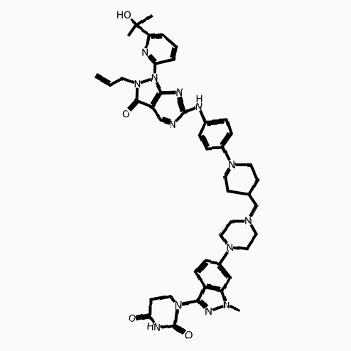 C=CCn1c(=O)c2cnc(Nc3ccc(N4CCC(CN5CCN(c6ccc7c(N8CCC(=O)NC8=O)nn(C)c7c6)CC5)CC4)cc3)nc2n1-c1cccc(C(C)(C)O)n1